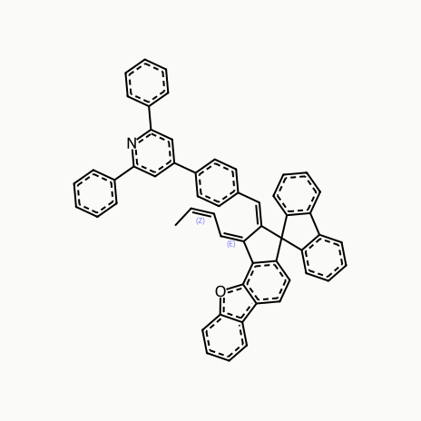 C/C=C\C=C1/C(=Cc2ccc(-c3cc(-c4ccccc4)nc(-c4ccccc4)c3)cc2)C2(c3ccccc3-c3ccccc32)c2ccc3c(oc4ccccc43)c21